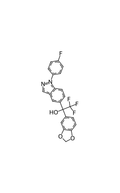 OC(c1ccc2c(c1)OCO2)(c1ccc2c(cnn2-c2ccc(F)cc2)c1)C(F)(F)F